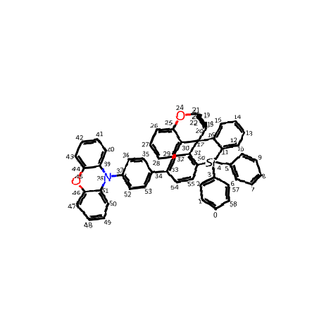 c1ccc([Si]2(c3ccccc3)c3ccccc3C3(c4ccccc4Oc4ccccc43)c3cc(-c4ccc(N5c6ccccc6Oc6ccccc65)cc4)ccc32)cc1